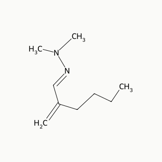 C=C(C=NN(C)C)CCCC